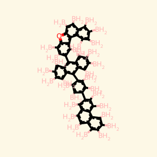 Bc1c(B)c(-c2c3c(B)c(B)c(B)c(B)c3c(-c3c(B)c(B)c4oc5c(B)c(B)c6c(B)c(B)c(B)c(B)c6c5c4c3B)c3c(B)c(B)c(B)c(B)c23)c(B)c(B)c1-c1c(B)c(B)c2c(c1B)c(B)c(B)c1c(B)c(B)c(B)c(B)c12